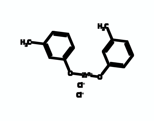 Cc1cccc([O][Zr+2][O]c2cccc(C)c2)c1.[Cl-].[Cl-]